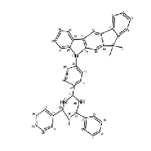 CC1(C)c2ccccc2-c2cc3c4ccccc4n(-c4ccc(C5NC(c6ccccc6)NC(c6ccccc6)N5)cc4)c3cc21